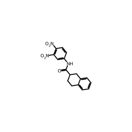 O=C(Nc1ccc([N+](=O)[O-])c([N+](=O)[O-])c1)C1CCc2ccccc2C1